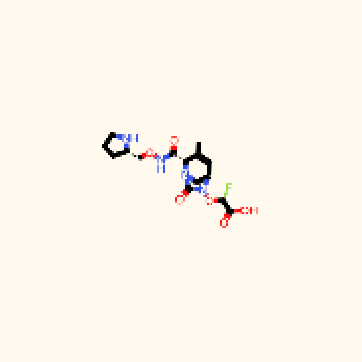 CC1=CC2CN(C(=O)N2O[C@@H](F)C(=O)O)[C@@H]1C(=O)NOC[C@@H]1CCCN1